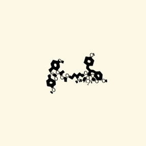 CCOC(OCCC(CCOC(C)OC(C)OC(=O)N(Cc1ccc(OC)cc1)Cc1ccc(OC)cc1)N(C)C)(OC(N)=O)C(Cc1ccc(OC)cc1)Cc1ccc(OC)cc1